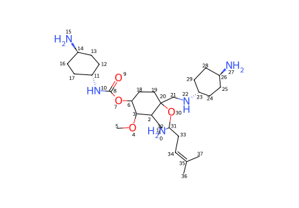 CCC1C(OC)C(OC(=O)N[C@H]2CC[C@H](N)CC2)CCC1(CN[C@H]1CC[C@H](N)CC1)OC(N)CC=C(C)C